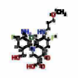 COCCCNc1c(F)cc2c(=O)c(C(=O)O)cn(-c3cc(N)c(F)cc3CO)c2c1Cl